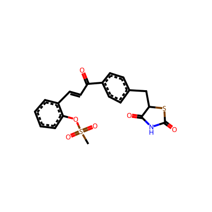 CS(=O)(=O)Oc1ccccc1/C=C/C(=O)c1ccc(CC2SC(=O)NC2=O)cc1